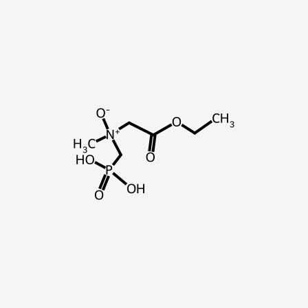 CCOC(=O)C[N+](C)([O-])CP(=O)(O)O